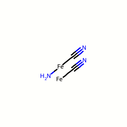 N#[C][Fe].N#[C][Fe][NH2]